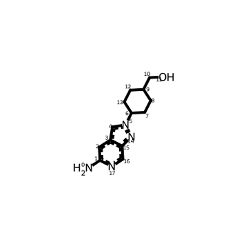 Nc1cc2cn(C3CCC(CO)CC3)nc2cn1